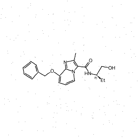 CC[C@H](CO)NC(=O)c1c(C)nc2c(OCc3ccccc3)cccn12